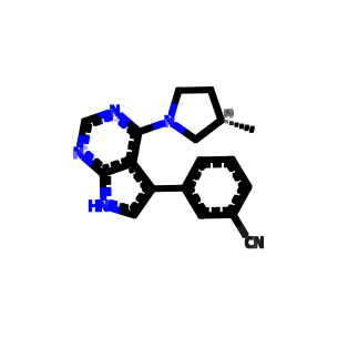 C[C@H]1CCN(c2ncnc3[nH]cc(-c4cccc(C#N)c4)c23)C1